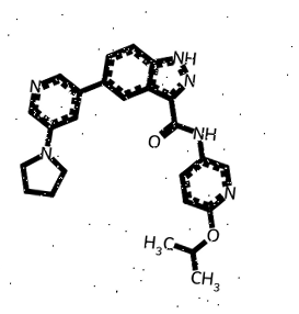 CC(C)Oc1ccc(NC(=O)c2n[nH]c3ccc(-c4cncc(N5CCCC5)c4)cc23)cn1